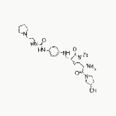 CCN1C(=O)[C@@H](CNc2ccc(NC(=O)NCCN3CCCC3)cc2)SC1[C@H](N)C(=O)N1CCC(O)C1